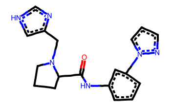 O=C(Nc1cccc(-n2cccn2)c1)C1CCCN1Cc1c[nH]cn1